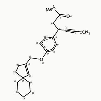 CC#CC(CC(=O)OC)c1ccc(OCC2=CC3(CCCCC3)CC2)cc1